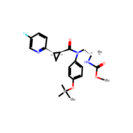 CC[C@H](C)[C@@H](CN(C(=O)[C@H]1C[C@@H]1c1ccc(F)cn1)c1ccc(O[Si](C)(C)C(C)(C)C)cc1)NC(=O)OC(C)(C)C